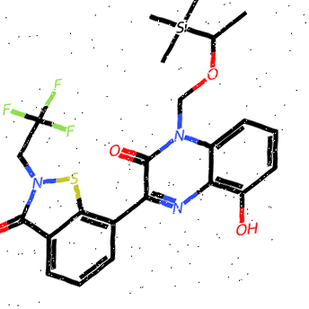 CC(OCn1c(=O)c(-c2cccc3c(=O)n(CC(F)(F)F)sc23)nc2c(O)cccc21)[Si](C)(C)C